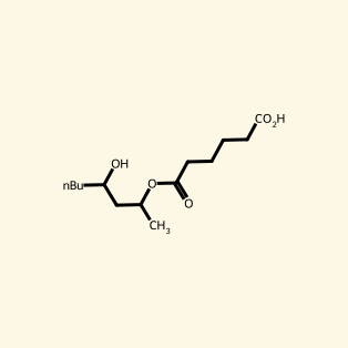 CCCCC(O)CC(C)OC(=O)CCCCC(=O)O